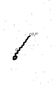 O=C(O)CCCCCCCCCCCC(=O)/C=C/c1ccccc1